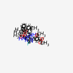 CCC[C@@H](CCO[Si](c1ccccc1)(c1ccccc1)C(C)(C)C)Nc1nc(NC(=O)OC)nc2c(F)nn(Cc3ccc(C(=O)OC)cc3OC)c12